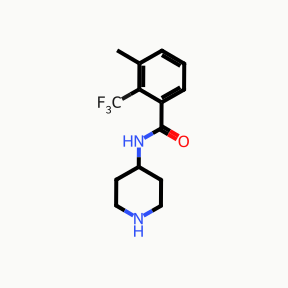 Cc1cccc(C(=O)NC2CCNCC2)c1C(F)(F)F